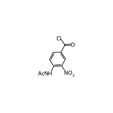 CC(=O)Nc1ccc(C(=O)Cl)cc1[N+](=O)[O-]